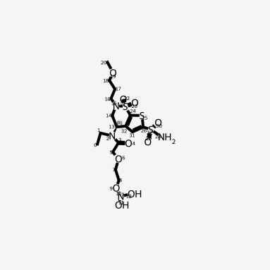 CCN(C(=O)COCCON(O)O)[C@H]1CN(CCCOC)S(=O)(=O)c2sc(S(N)(=O)=O)cc21